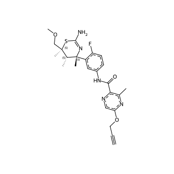 C#CCOc1cnc(C(=O)Nc2ccc(F)c([C@@]3(C)N=C(N)S[C@](C)(COC)[C@H]3C)c2)c(C)n1